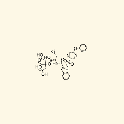 O=C(O)CC(CC(=O)O)(OB(O)[C@H](CC1CC1)NC(=O)[C@H](Cc1ccccc1)NS(=O)(=O)c1cnc(Oc2ccccc2)cn1)C(=O)O